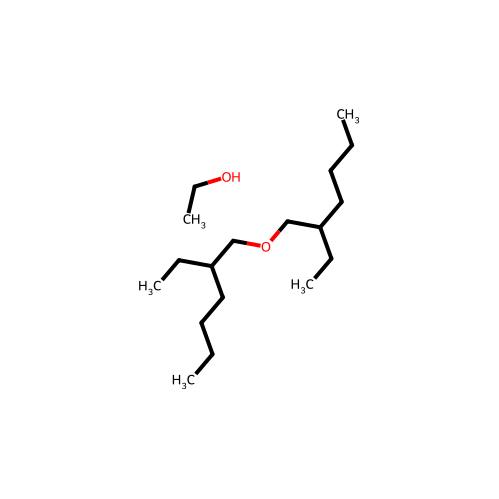 CCCCC(CC)COCC(CC)CCCC.CCO